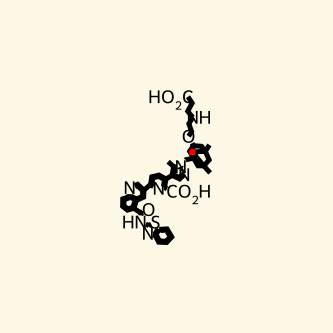 Cc1c(-c2ccc(-c3cnc4cccc(C(=O)Nc5nc6ccccc6s5)c4c3)nc2C(=O)O)cnn1CC12CC3(C)CC(C)(C1)CC(OCCNCCC(=O)O)(C3)C2